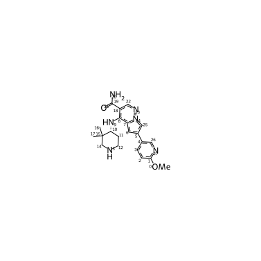 COc1ccc(-c2cc3c(N[C@@H]4CCNCC4(C)C)c(C(N)=O)cnn3c2)cn1